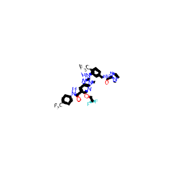 Cn1ccnc1C(=O)NCc1ccc(C(F)(F)F)c(Nc2nc3cc(C(=O)N[C@H]4CC[C@@H](C(F)(F)F)CC4)c(OCC(F)F)nc3n2C)c1